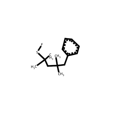 CC(C)(Cc1ccccc1)CC(C)(C)SF